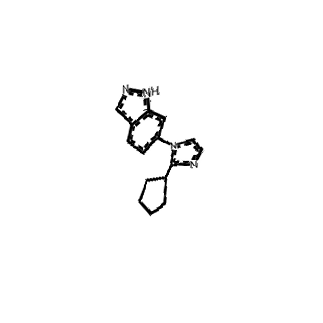 c1cn(-c2ccc3cn[nH]c3c2)c(C2CCCC2)n1